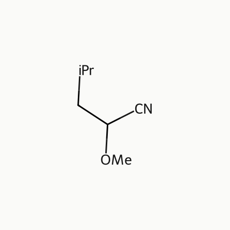 COC(C#N)CC(C)C